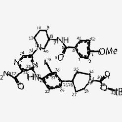 COc1ccc(C(=O)N[C@@H]2CCCN(c3cnc(C(N)=O)c(Nc4ccc(C5CCN(C(=O)OC(C)(C)C)CC5)cc4I)n3)C2)cc1